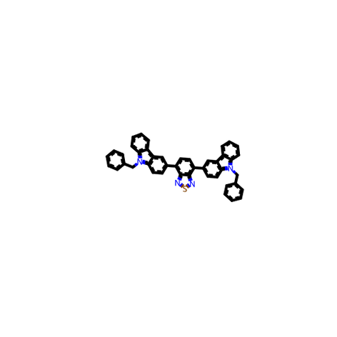 c1ccc(Cn2c3ccccc3c3cc(-c4ccc(-c5ccc6c(c5)c5ccccc5n6Cc5ccccc5)c5nsnc45)ccc32)cc1